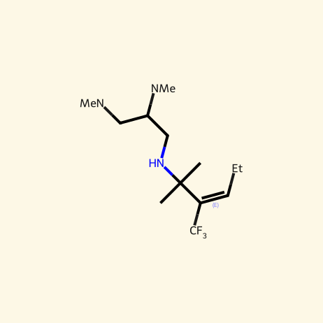 CC/C=C(/C(F)(F)F)C(C)(C)NCC(CNC)NC